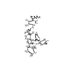 CSc1ccc(CNc2ccc3nc(-c4ccccc4F)nc(Nc4ccncc4)c3c2)cc1